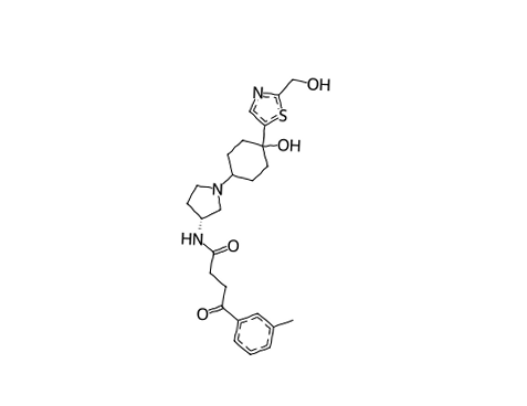 Cc1cccc(C(=O)CCC(=O)N[C@@H]2CCN(C3CCC(O)(c4cnc(CO)s4)CC3)C2)c1